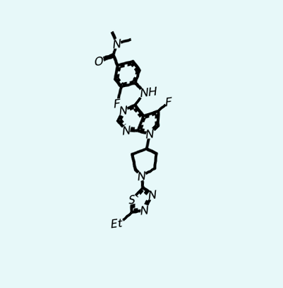 CCc1nnc(N2CCC(n3cc(F)c4c(Nc5ccc(C(=O)N(C)C)cc5F)ncnc43)CC2)s1